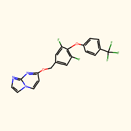 Fc1cc(COc2ccn3ccnc3n2)cc(F)c1Oc1ccc(C(F)(F)F)cc1